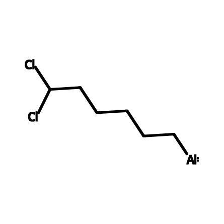 [Al][CH2]CCCCC(Cl)Cl